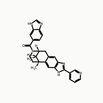 CC1(C)[C@H]2Cc3cc4nc(-c5cccnc5)[nH]c4cc3[C@]1(C)CCN2C(=O)c1ccc2nc[nH]c2c1